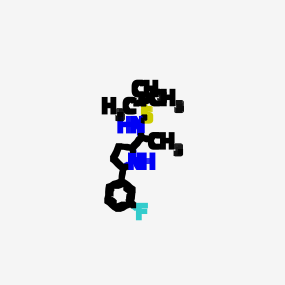 CC(NSC(C)(C)C)C1CCC(c2cccc(F)c2)N1